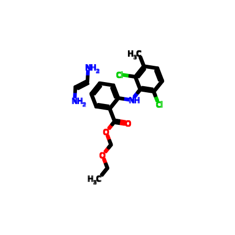 CCOCOC(=O)c1ccccc1Nc1c(Cl)ccc(C)c1Cl.N/C=C/N